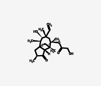 C=C[C@]1(C)C[C@@H](OC(=O)CO)[C@]2(C)[C@H](C)CC[C@]3(C[C@H](C)C(=O)[C@H]32)[C@@H](C)[C@@H]1O